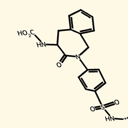 CC(C)(C)NS(=O)(=O)c1ccc(N2Cc3ccccc3CC(NC(=O)O)C2=O)cc1